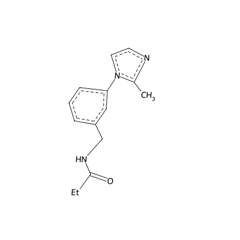 CCC(=O)NCc1cccc(-n2ccnc2C)c1